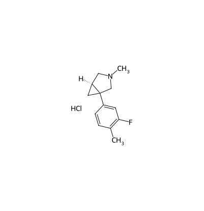 Cc1ccc(C23C[C@H]2CN(C)C3)cc1F.Cl